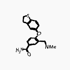 CNCc1cc(C(N)=O)ccc1Oc1ccc2c(c1)CCS2